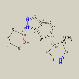 C[C@H]1CNCC[C@@H]1c1ccc2cnn([C@H]3CCCCO3)c2c1